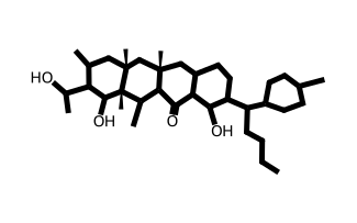 CCCCC(C1CCC(C)CC1)C1CCC2C[C@@]3(C)C[C@@]4(C)CC(C)C(C(C)O)C(O)[C@@]4(C)C(C)C3C(=O)C2C1O